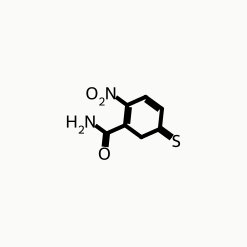 NC(=O)C1=C([N+](=O)[O-])C=CC(=S)C1